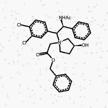 CC(=O)N[C@@H](c1ccccc1)C(c1ccc(Cl)c(Cl)c1)[N+]1(CC(=O)OCc2ccccc2)CC[C@H](O)C1